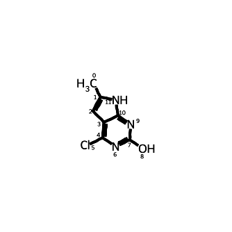 Cc1cc2c(Cl)nc(O)nc2[nH]1